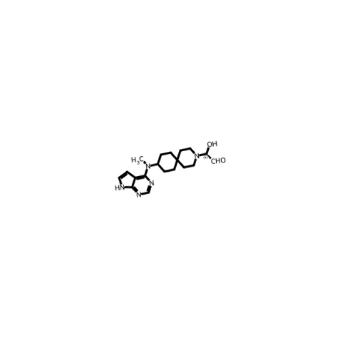 CN(c1ncnc2[nH]ccc12)C1CCC2(CC1)CCN([C@@H](O)C=O)CC2